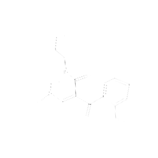 CCCNC(=O)C(=CN(C)C)C(=O)c1ccccc1C